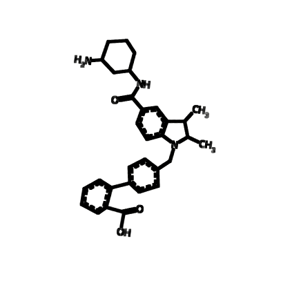 CC1c2cc(C(=O)NC3CCCC(N)C3)ccc2N(Cc2ccc(-c3ccccc3C(=O)O)cc2)C1C